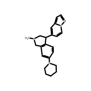 CN1Cc2cc(N3CCCCC3)ccc2C(c2ccn3nccc3c2)C1